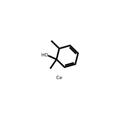 CC1C=CC=CC1(C)O.[Ca]